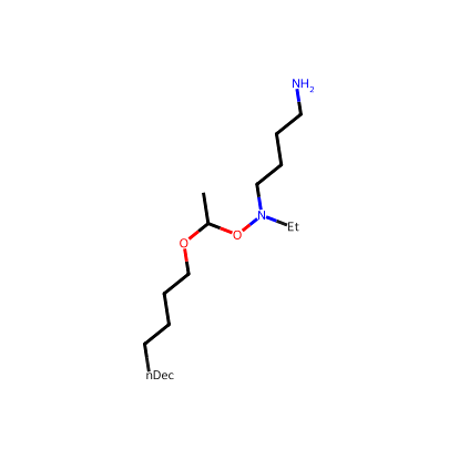 CCCCCCCCCCCCCCOC(C)ON(CC)CCCCN